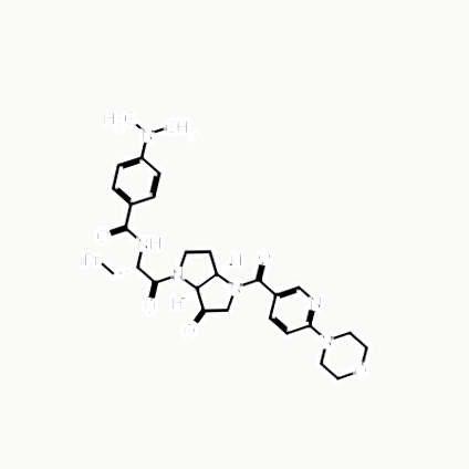 CC(C)C[C@H](NC(=O)c1ccc(N(C)C)cc1)C(=O)N1CC[C@@H]2[C@H]1C(=O)CN2C(=O)c1ccc(N2CCOCC2)nc1